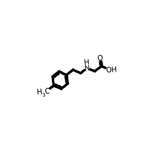 Cc1ccc(CCNCC(=O)O)cc1